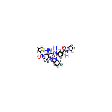 CC1(C)CN(C(=O)c2cccs2)CC(C(=N)C(=O)Nc2cccc(C(=O)NC3CCCC3)c2)=C1NCc1ccc(F)cc1